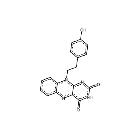 O=c1nc2n(CCc3ccc(O)cc3)c3ccccc3nc-2c(=O)[nH]1